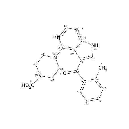 Cc1ccccc1C(=O)c1c[nH]c2ncnc(N3CCN(C(=O)O)CC3)c12